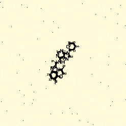 C[C@H](Nc1ncnc2c1ncn2C1CCCCO1)c1nc2ccc(F)c3c2n1[C@@H](C)CO3